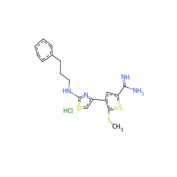 CSc1sc(C(=N)N)cc1-c1csc(NCCCc2ccccc2)n1.Cl